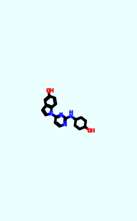 Oc1ccc2c(ccn2-c2ccnc(NC3CCC(O)CC3)n2)c1